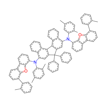 Cc1ccc(C)c(N(c2cc3c(c4ccccc24)-c2c(cc(N(c4cc(C)ccc4C)c4cccc5c4oc4c(-c6ccccc6C)cccc45)c4ccccc24)C3(c2ccccc2)c2ccccc2)c2cccc3c2oc2c(-c4ccccc4C)cccc23)c1